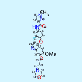 COc1cc2c(Oc3ccc(NC(=O)c4ccn(C)n4)cc3F)ccnc2cc1OCCCN1CCOCC1